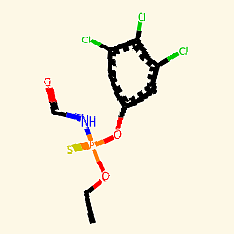 CCOP(=S)(NC=O)Oc1cc(Cl)c(Cl)c(Cl)c1